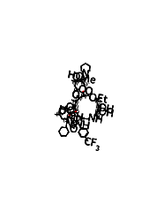 CC[C@H]1OC(=O)[C@H](C)[C@@H](O[C@H]2C[C@@](C)(OC)[C@](O)(CN3CCCCC3)[C@H](C)O2)[C@H](C)[C@@H](O[C@@H]2O[C@H](C)C[C@H](N(C3CCCCC3)S(=O)(=O)Nc3ccc(C(F)(F)F)cc3)[C@H]2O)[C@](C)(O)C[C@@H](C)CN[C@H](C)[C@@H](O)[C@]1(C)O